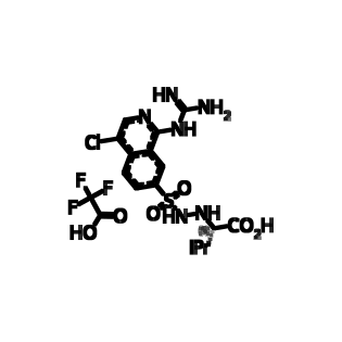 CC(C)[C@H](NNS(=O)(=O)c1ccc2c(Cl)cnc(NC(=N)N)c2c1)C(=O)O.O=C(O)C(F)(F)F